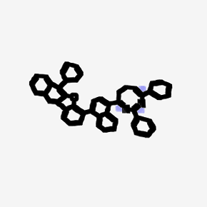 C1=C(c2ccccc2)/N=C(c2ccccc2)\N=C(\c2ccc(-c3cccc4c3oc3c(-c5ccccc5)c5ccccc5cc34)c3ccccc23)CC\1